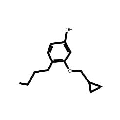 CCCCc1ccc(O)cc1OCC1CC1